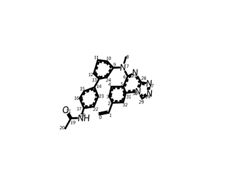 C=Cc1ccc2c(N(C)c3cccc(-c4ccc(NC(C)=O)cc4)c3)nc3nncn3c2c1